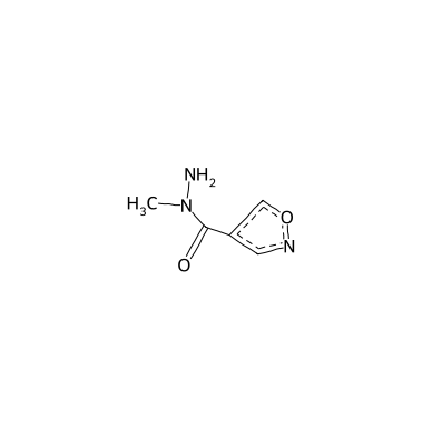 CN(N)C(=O)c1cnoc1